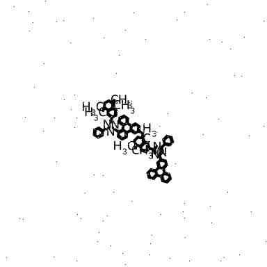 CC1(C)CCC(C)(C)c2cc(-c3nc(-c4ccccc4)nc(-c4cccc5c6cc(CC7(C)CCC(C)(C)c8ccc(-c9nc(-c%10ccccc%10)nc(-c%10ccc%11c%12ccccc%12c%12ccccc%12c%11c%10)n9)cc87)ccc6c6ccccc6c45)n3)ccc21